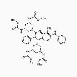 Cc1c(Nc2ccccc2)ccc2c(N3CC(NC(=O)OC(C)(C)C)CC(NC(=O)OC(C)(C)C)C3)c(-c3ccccc3)c(N3CC(NC(=O)OC(C)(C)C)CC(NC(=O)OC(C)(C)C)C3)nc12